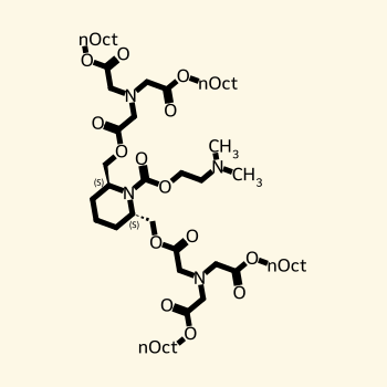 CCCCCCCCOC(=O)CN(CC(=O)OCCCCCCCC)CC(=O)OC[C@@H]1CCC[C@@H](COC(=O)CN(CC(=O)OCCCCCCCC)CC(=O)OCCCCCCCC)N1C(=O)OCCN(C)C